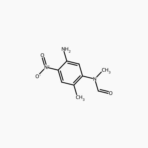 Cc1cc([N+](=O)[O-])c(N)cc1N(C)C=O